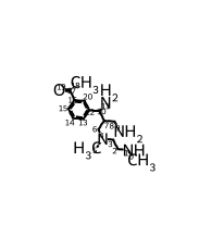 CNCCN(C)CC(CN)C(N)c1cccc(C(C)=O)c1